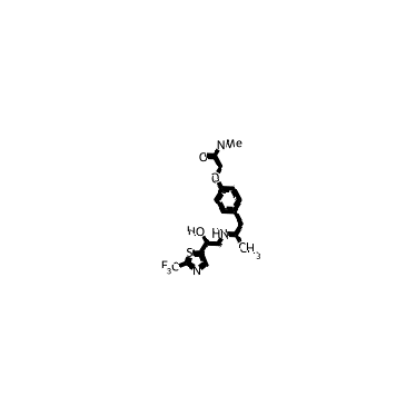 CNC(=O)COc1ccc(CC(C)NCC(O)c2cnc(C(F)(F)F)s2)cc1